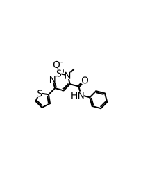 CN1C(C(=O)Nc2ccccc2)=CC(c2cccs2)=N[S+]1[O-]